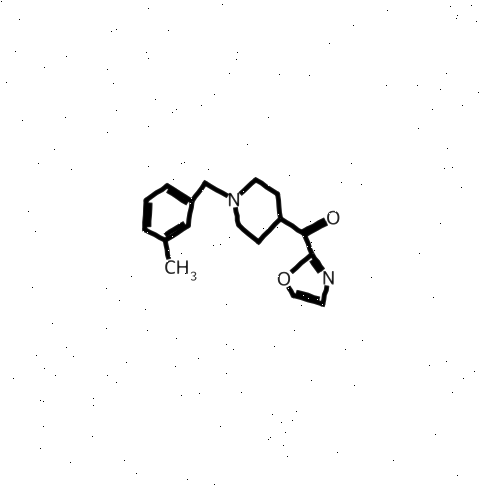 Cc1cccc(CN2CCC(C(=O)c3ncco3)CC2)c1